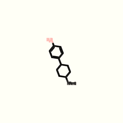 Bc1ccc(C2CCC(CCCCC)CC2)cc1